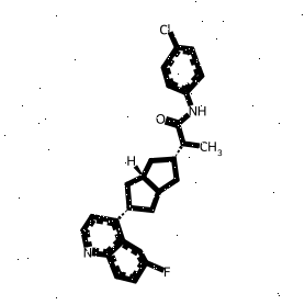 CC(C(=O)Nc1ccc(Cl)cc1)[C@@H]1CC2C[C@H](c3ccnc4ccc(F)cc34)C[C@@H]2C1